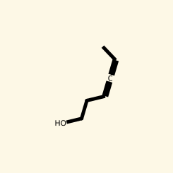 CC=C=CCCO